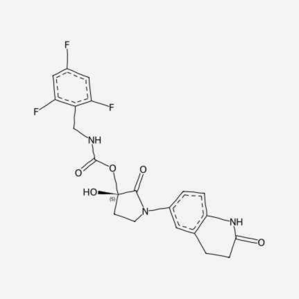 O=C1CCc2cc(N3CC[C@](O)(OC(=O)NCc4c(F)cc(F)cc4F)C3=O)ccc2N1